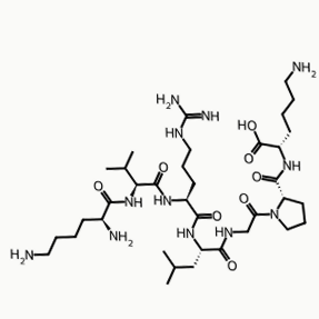 CC(C)C[C@H](NC(=O)[C@H](CCCNC(=N)N)NC(=O)[C@@H](NC(=O)[C@@H](N)CCCCN)C(C)C)C(=O)NCC(=O)N1CCC[C@H]1C(=O)N[C@@H](CCCCN)C(=O)O